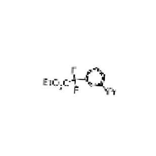 CCOC(=O)C(F)(F)c1cccc(C(C)C)c1